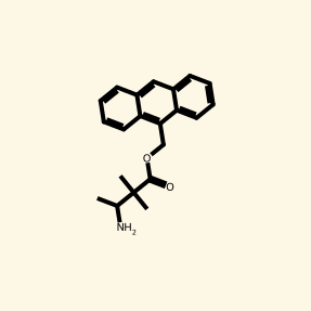 CC(N)C(C)(C)C(=O)OCc1c2ccccc2cc2ccccc12